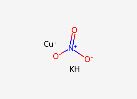 O=[N+]([O-])[O-].[Cu+].[KH]